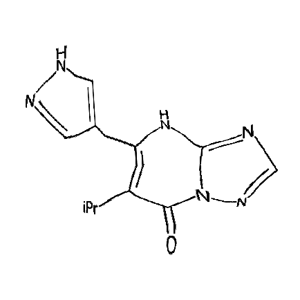 CC(C)c1c(-c2cn[nH]c2)[nH]c2ncnn2c1=O